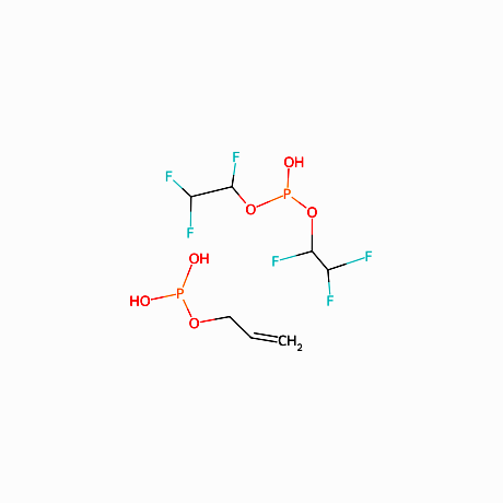 C=CCOP(O)O.OP(OC(F)C(F)F)OC(F)C(F)F